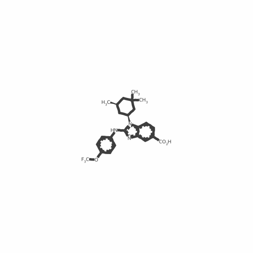 C[C@@H]1C[C@H](n2c(Nc3ccc(OC(F)(F)F)cc3)nc3cc(C(=O)O)ccc32)CC(C)(C)C1